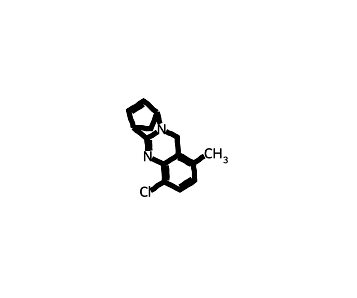 Cc1ccc(Cl)c2c1CN1C(=N2)C2C=CC1C2